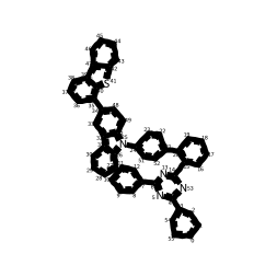 c1ccc(-c2nc(-c3ccccc3)nc(-c3ccccc3-c3ccc(-n4c5ccccc5c5cc(-c6cccc7c6sc6ccccc67)ccc54)cc3)n2)cc1